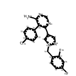 Nc1ncnc(-c2cnn(Cc3ccc(F)cc3F)c2)c1-c1ccc(Cl)cc1